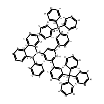 c1ccc(B2c3ccccc3-c3ccccc3N2c2cc(-c3cccc(C(c4ccccc4)(c4ccccc4)c4ccccc4)c3)nc(-c3cccc([Si](c4ccccc4)(c4ccccc4)c4ccccc4)c3)c2)cc1